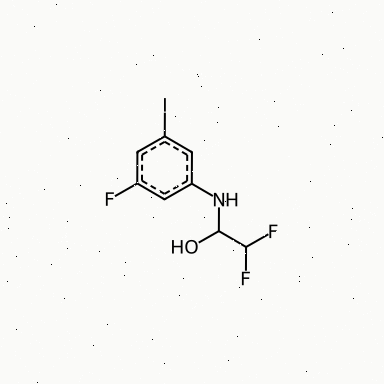 OC(Nc1cc(F)cc(I)c1)C(F)F